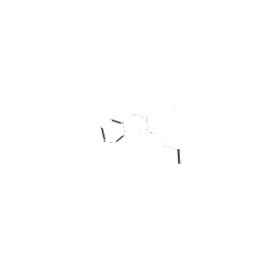 C=C(C)CONC(Cc1ccc(O)cc1)C(=O)O